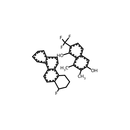 Cc1c(O)cc2ccc(C(F)(F)F)c(O)c2c1C.FC1CCCc2c1ccc1c2ccc2ccccc21